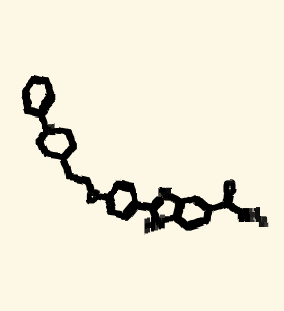 NC(=O)c1ccc2[nH]c(-c3ccc(OCCC4CCN(c5ccccc5)CC4)cc3)nc2c1